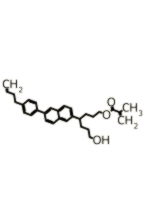 C=CCCc1ccc(-c2ccc3cc(C(CCCO)CCCOC(=O)C(=C)C)ccc3c2)cc1